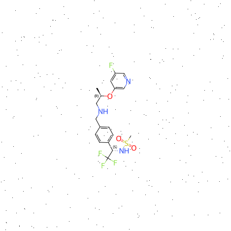 C[C@H](CNCc1ccc([C@H](NS(C)(=O)=O)C(F)(F)F)cc1)Oc1cncc(F)c1